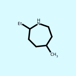 CCC1CCC(C)CCN1